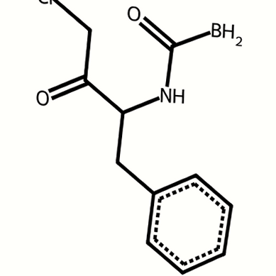 BC(=O)NC(Cc1ccccc1)C(=O)CCl